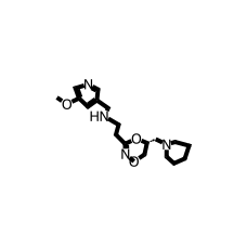 COc1cncc(CNCCC2=NOC[C@@H](CN3CCCCC3)O2)c1